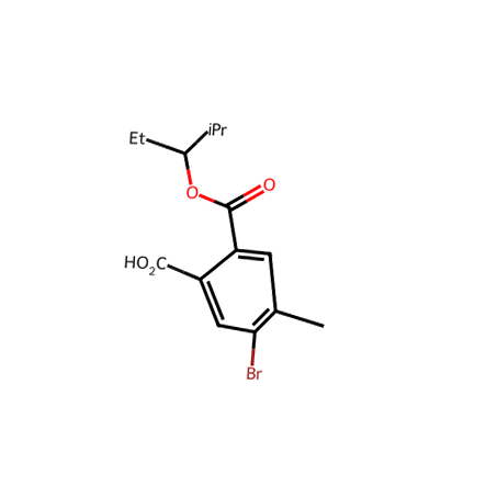 CCC(OC(=O)c1cc(C)c(Br)cc1C(=O)O)C(C)C